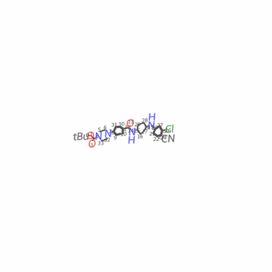 CC(C)(C)OC(=O)N1CCN(c2ccc(C(=O)N[C@H]3CC[C@H](Nc4ccc(C#N)c(Cl)c4)CC3)cc2)CC1